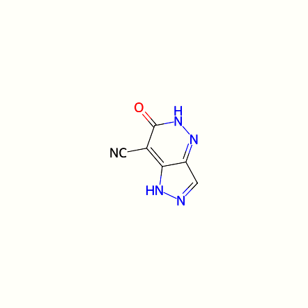 N#Cc1c(=O)[nH]nc2cn[nH]c12